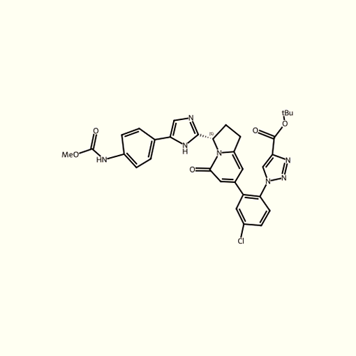 COC(=O)Nc1ccc(-c2cnc([C@@H]3CCc4cc(-c5cc(Cl)ccc5-n5cc(C(=O)OC(C)(C)C)nn5)cc(=O)n43)[nH]2)cc1